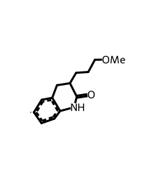 COCCCC1Cc2c[c]ccc2NC1=O